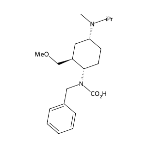 COC[C@H]1C[C@H](N(C)C(C)C)CC[C@@H]1N(Cc1ccccc1)C(=O)O